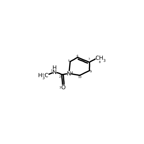 CNC(=O)N1CC=C(C)CC1